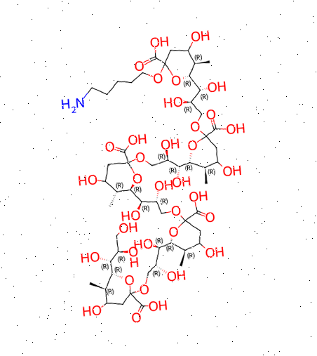 C[C@@H]1C(O)CC(OC[C@@H](O)[C@@H](O)[C@@H]2OC(OC[C@@H](O)[C@@H](O)[C@@H]3OC(OC[C@@H](O)[C@@H](O)[C@@H]4OC(OC[C@@H](O)[C@@H](O)[C@@H]5OC(OCCCCCN)(C(=O)O)CC(O)[C@H]5C)(C(=O)O)CC(O)[C@H]4C)(C(=O)O)CC(O)[C@H]3C)(C(=O)O)CC(O)[C@H]2C)(C(=O)O)O[C@H]1[C@H](O)[C@H](O)CO